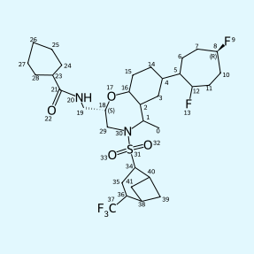 CC1C2CC(C3CC[C@@H](F)CCC3F)CCC2O[C@@H](CNC(=O)C2CCCCC2)CN1S(=O)(=O)C1CC(C(F)(F)F)C2CC1C2